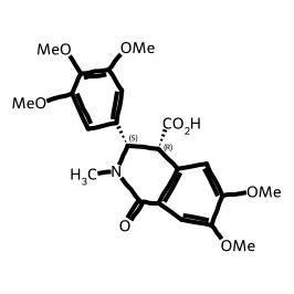 COc1cc2c(cc1OC)[C@@H](C(=O)O)[C@@H](c1cc(OC)c(OC)c(OC)c1)N(C)C2=O